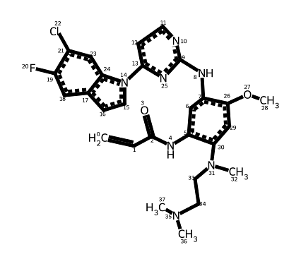 C=CC(=O)Nc1cc(Nc2nccc(-n3ccc4cc(F)c(Cl)cc43)n2)c(OC)cc1N(C)CCN(C)C